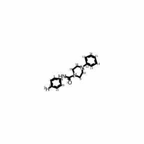 [3H]c1ccc(NC(=O)N2CCN(c3ccccc3)CC2)cc1